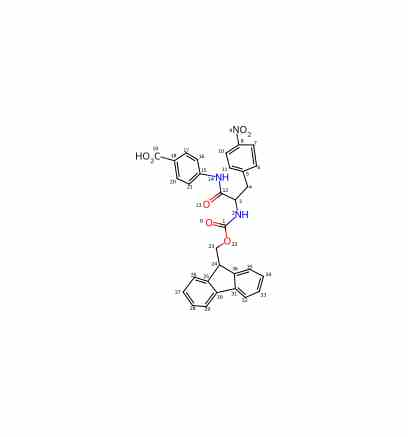 O=C(NC(Cc1ccc([N+](=O)[O-])cc1)C(=O)Nc1ccc(C(=O)O)cc1)OCC1c2ccccc2-c2ccccc21